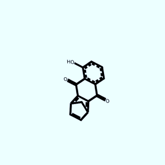 O=C1C2=C3C=CC(=C2C(=O)c2c(O)cccc21)C3